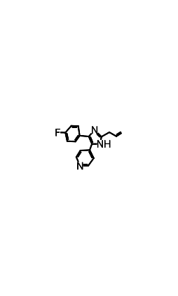 C=CCc1nc(-c2ccc(F)cc2)c(-c2ccncc2)[nH]1